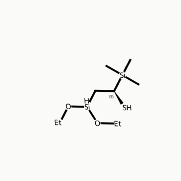 CCO[SiH](C[C@H](S)[Si](C)(C)C)OCC